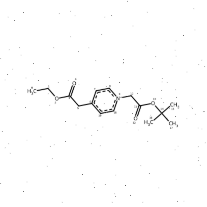 CCOC(=O)Cc1cc[n+](CC(=O)OC(C)(C)C)cc1